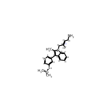 Cc1c(-c2cncc(SN(C)C)c2)c2ccccc2n1C/C(F)=C/CN